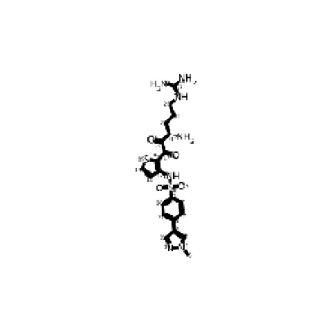 Cn1cc(-c2ccc(S(=O)(=O)Nc3ccsc3C(=O)C(=O)[C@@H](N)CCCNC(N)N)cc2)cn1